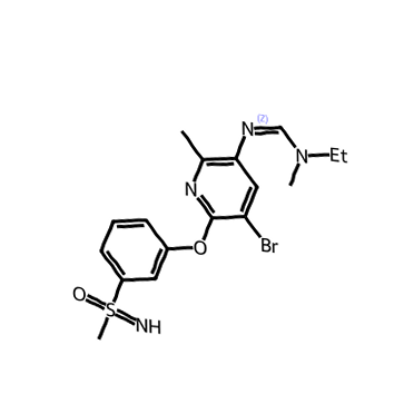 CCN(C)/C=N\c1cc(Br)c(Oc2cccc(S(C)(=N)=O)c2)nc1C